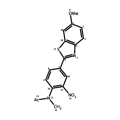 COc1ccc2nc(-c3ccc(N(C)C(C)=O)c([N+](=O)[O-])c3)sc2c1